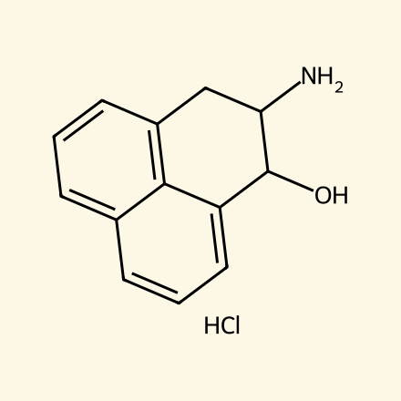 Cl.NC1Cc2cccc3cccc(c23)C1O